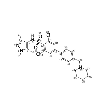 Cc1nn(C)c(C)c1NS(=O)(=O)c1c(Cl)cc(-c2ccc(CN3CCCCC3)cc2)cc1Cl